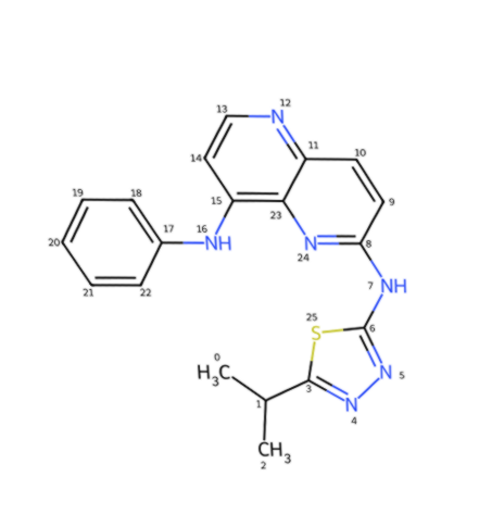 CC(C)c1nnc(Nc2ccc3nccc(Nc4ccccc4)c3n2)s1